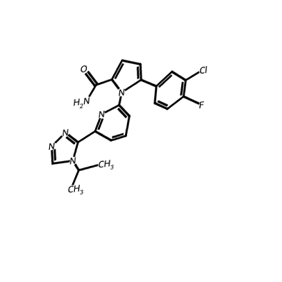 CC(C)n1cnnc1-c1cccc(-n2c(C(N)=O)ccc2-c2ccc(F)c(Cl)c2)n1